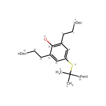 CCCCCCCCCCCCc1cc(SC(C)(C)CCCCC)cc(CCCCCCCCCCCC)c1[O]